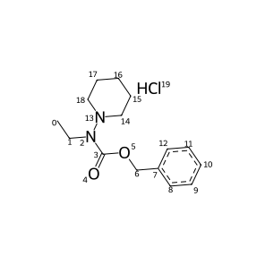 CCN(C(=O)OCc1ccccc1)N1CCCCC1.Cl